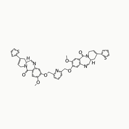 COc1cc2c(cc1OCc1cccc(COc3cc4c(cc3OC)C(=O)N3CC=C(c5cccs5)C[C@H]3C=N4)n1)N=C[C@@H]1CC(c3cccs3)=CCN1C2=O